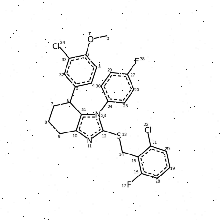 COc1ccc(C2CCCc3nc(SCc4c(F)cccc4Cl)n(-c4ccc(F)cc4)c32)cc1Cl